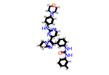 Cc1cccc(NC(=O)Nc2cccc(-c3nc4sccn4c3-c3ccnc(Nc4ccc(N5CCOCC5)cc4)n3)c2)c1